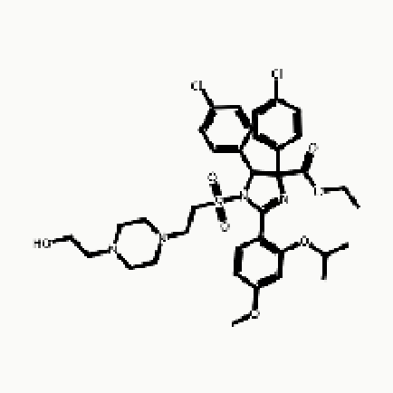 CCOC(=O)C1(c2ccc(Cl)cc2)N=C(c2ccc(OC)cc2OC(C)C)N(S(=O)(=O)CCN2CCN(CCO)CC2)C1c1ccc(Cl)cc1